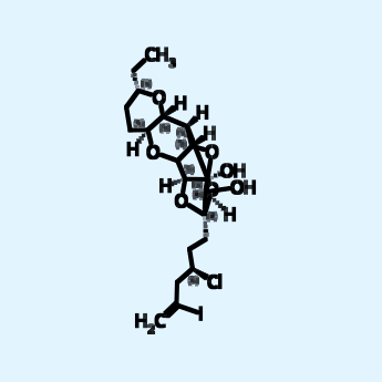 C=C(I)C[C@H](Cl)CC[C@@]12O[C@H]3[C@H]4O[C@@H](CC)CC[C@@H]4OC4[C@H]3O[C@](O)([C@H]4O1)[C@H]2O